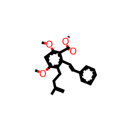 C=C(C)CCc1c(OC)cc(OC)c(C(=O)OC)c1C=Cc1ccccc1